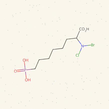 O=C(O)C(CCCCCCP(=O)(O)O)N(Cl)Br